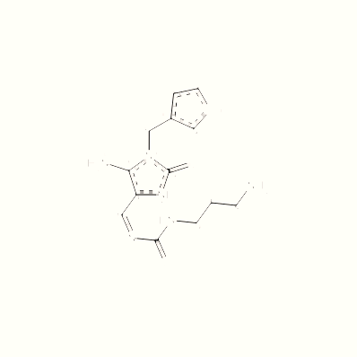 C=C(/N=C\c1[nH]c(=O)n(Cc2ccsc2)c1N)NCCCN